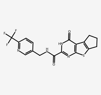 O=C(NCc1ccc(C(F)(F)F)nc1)c1nc2sc3c(c2c(=O)[nH]1)CCC3